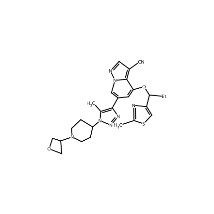 CCC(Oc1cc(-c2nnn(C3CCN(C4COC4)CC3)c2C)cn2ncc(C#N)c12)c1csc(C)n1